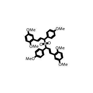 COc1ccc(C(C=Cc2cc(OC)ccc2OC)S(=O)(=O)C(C=Cc2cc(OC)ccc2OC)c2ccc(OC)cc2)cc1